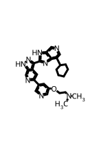 CN(C)CCOc1cncc(-c2cc3c(-c4nc5c(C6CCCCC6)cncc5[nH]4)n[nH]c3cn2)c1